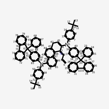 C=C/C=C1/C(N(c2ccc(C(C)(C)C)cc2)c2ccc(C3(c4ccccc4)c4ccccc4-c4ccccc43)cc2)=CCc2ccc3c(N(c4ccc(C(C)(C)C)cc4)c4ccc(C5(c6ccccc6)c6ccccc6-c6ccccc65)cc4)cccc3c21